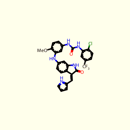 COc1ccc(NC(=O)Nc2cc(C(F)(F)F)ccc2Cl)cc1Nc1ccc2c(c1)NC(=O)C2=Cc1ccc[nH]1